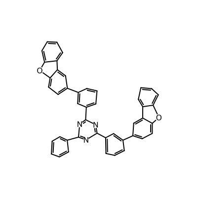 c1ccc(-c2nc(-c3cccc(-c4ccc5oc6ccccc6c5c4)c3)nc(-c3cccc(-c4ccc5oc6ccccc6c5c4)c3)n2)cc1